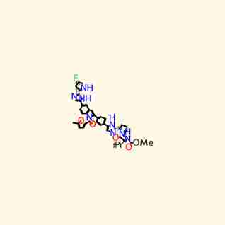 COC(=O)N[C@H](C(=O)N1CCC[C@H]1c1ncc(-c2ccc3c(c2)OC(c2ccc(C)o2)n2c-3cc3cc(-c4cnc([C@@H]5C[C@@H](F)CN5)[nH]4)ccc32)[nH]1)C(C)C